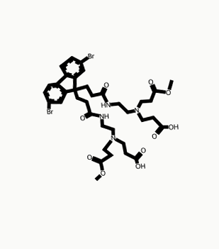 COC(=O)CCN(CCNC(=O)CCC1(CCC(=O)NCCN(CCC(=O)O)CCC(=O)OC)c2cc(Br)ccc2-c2ccc(Br)cc21)CCC(=O)O